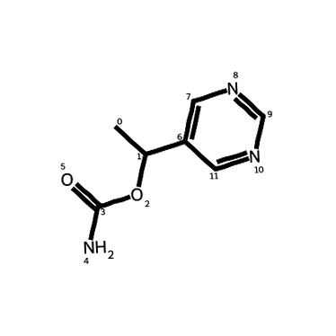 CC(OC(N)=O)c1cncnc1